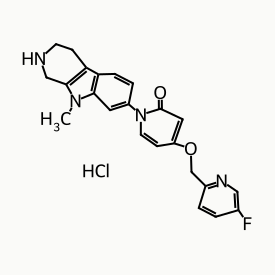 Cl.Cn1c2c(c3ccc(-n4ccc(OCc5ccc(F)cn5)cc4=O)cc31)CCNC2